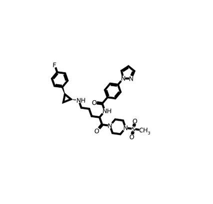 CS(=O)(=O)N1CCN(C(=O)C(CCCN[C@@H]2C[C@H]2c2ccc(F)cc2)NC(=O)c2ccc(-n3cccn3)cc2)CC1